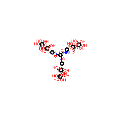 O=C(Nc1ccc(S[C@@H]2O[C@H](CO)[C@@H](O[C@@H]3O[C@H](CO)[C@@H](O)[C@H](O)[C@H]3O)[C@H](O)[C@H]2O)cc1)c1cc(C(=O)Nc2ccc(S[C@@H]3O[C@H](CO)[C@@H](O[C@@H]4O[C@H](CO)[C@@H](O)[C@H](O)[C@H]4O)[C@H](O)[C@H]3O)cc2)cc(C(=O)Nc2ccc(S[C@@H]3O[C@H](CO)[C@@H](O[C@@H]4O[C@H](CO)[C@@H](O)[C@H](O)[C@H]4O)[C@H](O)[C@H]3O)cc2)c1